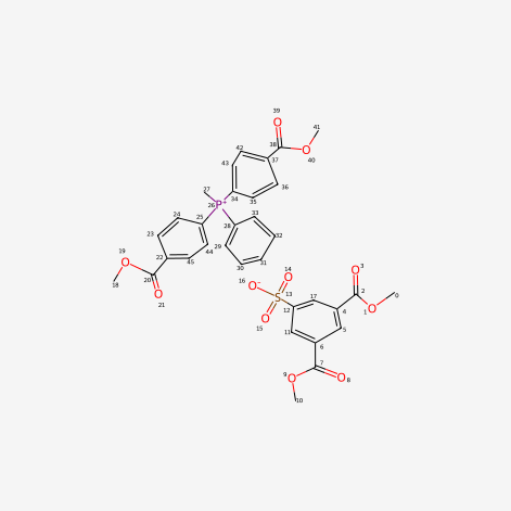 COC(=O)c1cc(C(=O)OC)cc(S(=O)(=O)[O-])c1.COC(=O)c1ccc([P+](C)(c2ccccc2)c2ccc(C(=O)OC)cc2)cc1